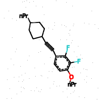 CCCOc1ccc(C#CC2CCC(CCC)CC2)c(F)c1F